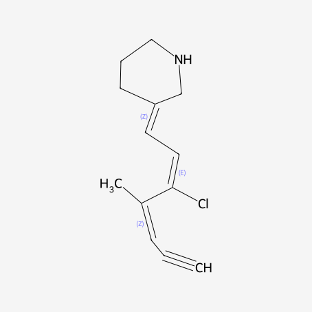 C#C\C=C(C)/C(Cl)=C\C=C1\CCCNC1